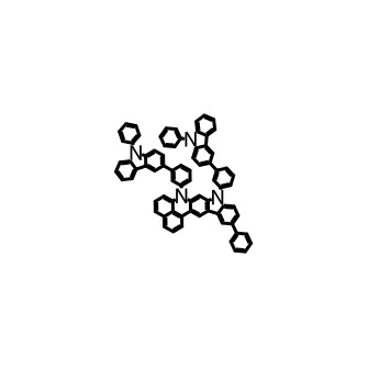 c1ccc(-c2ccc3c(c2)c2cc4c(cc2n3-c2cccc(-c3ccc5c(c3)c3ccccc3n5-c3ccccc3)c2)N(c2cccc(-c3ccc5c(c3)c3ccccc3n5-c3ccccc3)c2)c2cccc3cccc-4c23)cc1